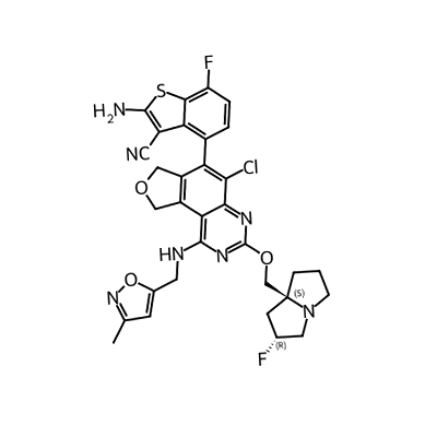 Cc1cc(CNc2nc(OC[C@@]34CCCN3C[C@H](F)C4)nc3c(Cl)c(-c4ccc(F)c5sc(N)c(C#N)c45)c4c(c23)COC4)on1